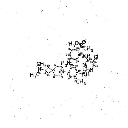 Cc1cc(N2CCC3(CC2)CC(N(C)C)C3)c(N)cc1Nc1ncc(Cl)c(Nc2ccccc2P(C)(C)=O)n1